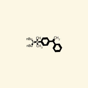 C=C(c1ccccc1)c1ccc(S(C)(C)N(CCCC)CCCC)cc1